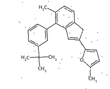 Cc1ccc(C2=Cc3c(ccc(C)c3-c3cccc(C(C)(C)C)c3)C2)o1